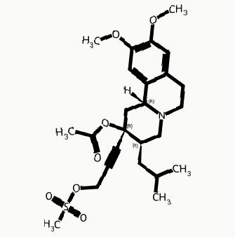 COc1cc2c(cc1OC)[C@H]1C[C@@](C#CCOS(C)(=O)=O)(OC(C)=O)[C@H](CC(C)C)CN1CC2